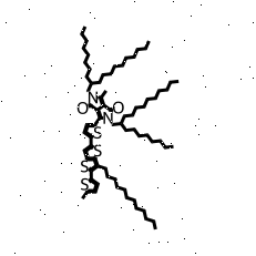 CCCCCCCCCCCCc1c(-c2ccc(C)s2)sc2cc(-c3ccc(C4=C5C(=O)N(CC(CCCCCCCC)CCCCCCCCCC)C(C)=C5C(=O)N4CC(CCCCCCCC)CCCCCCCCCC)s3)sc12